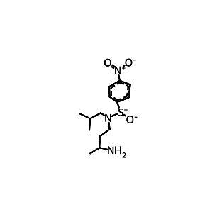 CC(C)CN(CCC(C)N)[S+]([O-])c1ccc([N+](=O)[O-])cc1